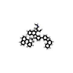 C=Cc1c(/C=C\C)sc2c3ccccc3c3c(c4cc(-c5ccc6sc7ccc8ccccc8c7c6c5)ccc4n3-c3nc(-c4cccc5ccccc45)c4ccccc4n3)c12